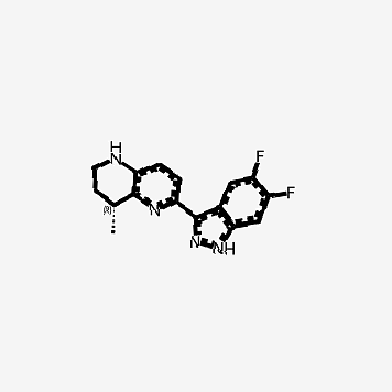 C[C@@H]1CCNc2ccc(-c3n[nH]c4cc(F)c(F)cc34)nc21